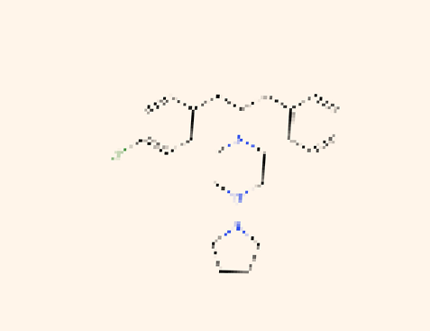 Clc1ccc(CC(Cc2ccccc2)N2CCN(N3CCCC3)CC2)cc1